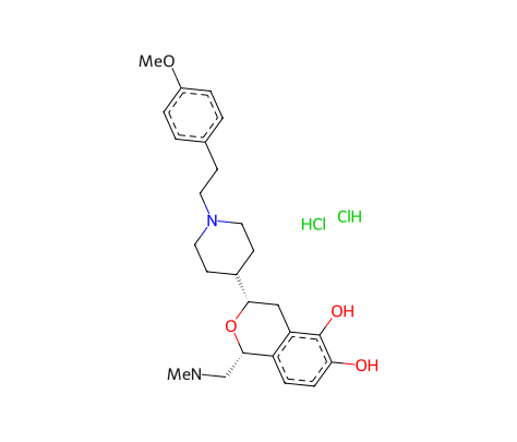 CNC[C@@H]1O[C@H](C2CCN(CCc3ccc(OC)cc3)CC2)Cc2c1ccc(O)c2O.Cl.Cl